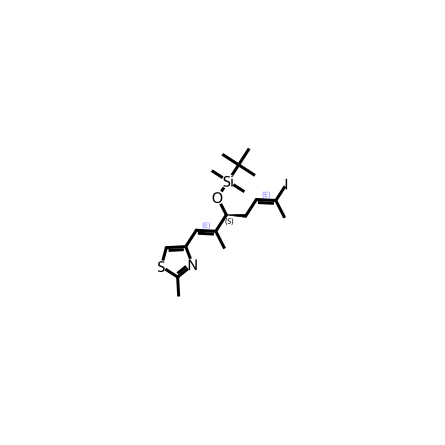 C/C(I)=C\C[C@H](O[Si](C)(C)C(C)(C)C)/C(C)=C/c1csc(C)n1